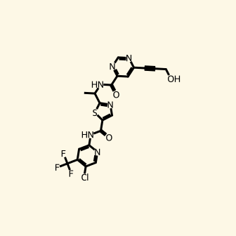 CC(NC(=O)c1cc(C#CCO)ncn1)c1ncc(C(=O)Nc2cc(C(F)(F)F)c(Cl)cn2)s1